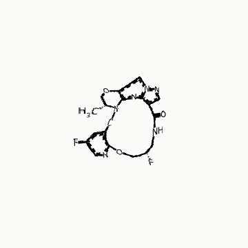 C[C@@H]1COc2cn3ncc4c3nc2N1Cc1cc(F)cnc1OC[C@@H](F)CNC4=O